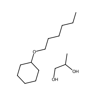 CC(O)CO.CCCCCCOC1CCCCC1